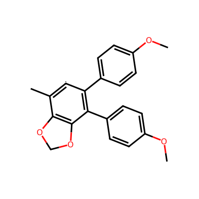 COc1ccc(-c2[c]c(C)c3c(c2-c2ccc(OC)cc2)OCO3)cc1